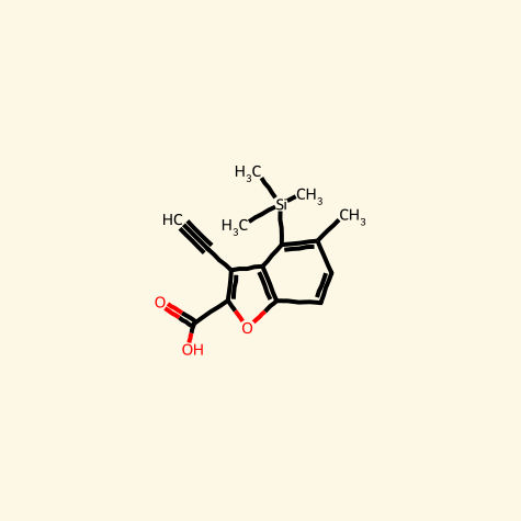 C#Cc1c(C(=O)O)oc2ccc(C)c([Si](C)(C)C)c12